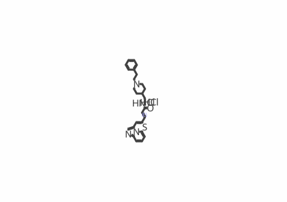 Cl.Cl.O=C(/C=C/C1=Cc2cnc3cccc(n23)S1)NCC1CCN(CCc2ccccc2)CC1